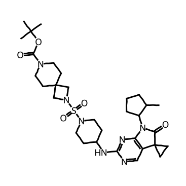 CC1CCCC1N1C(=O)C2(CC2)c2cnc(NC3CCN(S(=O)(=O)N4CC5(CCN(C(=O)OC(C)(C)C)CC5)C4)CC3)nc21